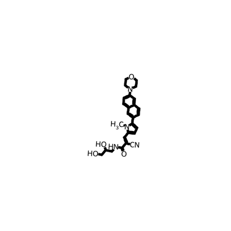 Cn1c(/C=C(\C#N)C(=O)NCC(O)CO)ccc1-c1ccc2cc(N3CCOCC3)ccc2c1